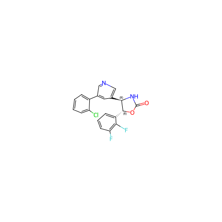 O=C1N[C@H](c2cncc(-c3ccccc3Cl)c2)[C@@H](c2cccc(F)c2F)O1